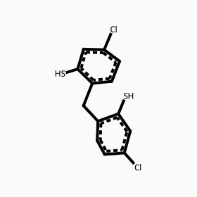 Sc1cc(Cl)ccc1Cc1ccc(Cl)cc1S